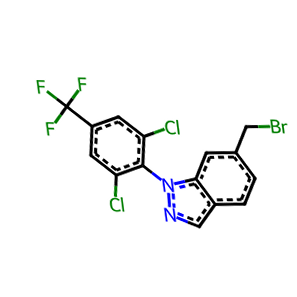 FC(F)(F)c1cc(Cl)c(-n2ncc3ccc(CBr)cc32)c(Cl)c1